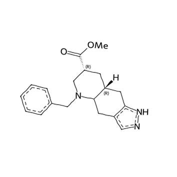 COC(=O)[C@@H]1C[C@@H]2Cc3[nH]ncc3CC2N(Cc2ccccc2)C1